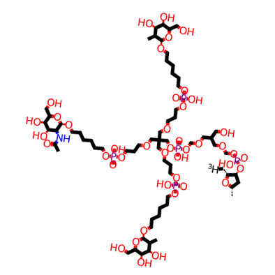 [3H]C[C@H]1O[C@@H](C)C[C@@H]1OP(=O)(O)OCOCC(CO)COCOP(=O)(O)OCC(COCCCOP(=O)(O)OCCCCCCO[C@@H]1OC(CO)[C@H](O)[C@H](O)C1C)(COCCCOP(=O)(O)OCCCCCCO[C@@H]1OC(CO)[C@H](O)[C@H](O)C1C)COCCCOP(=O)(O)OCCCCCCO[C@@H]1OC(CO)[C@H](O)[C@H](O)C1NC(C)=O